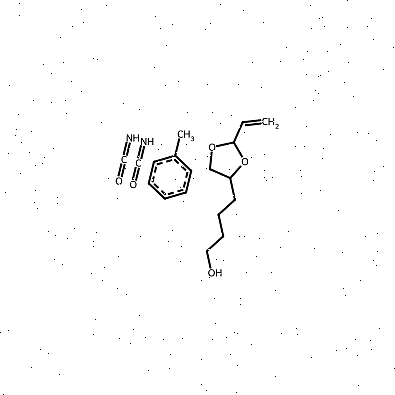 C=CC1OCC(CCCCO)O1.Cc1ccccc1.N=C=O.N=C=O